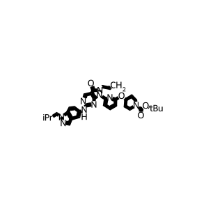 C=CCn1c(=O)c2cnc(Nc3ccc4c(cnn4CC(C)C)c3)nc2n1-c1cccc(OC2CCN(C(=O)OC(C)(C)C)CC2)n1